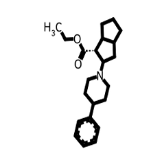 CCOC(=O)[C@@H]1C2CCCC2CC1N1CCC(c2ccccc2)CC1